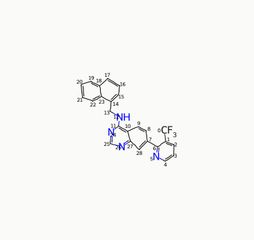 FC(F)(F)c1cccnc1-c1ccc2c(NCc3cccc4ccccc34)ncnc2c1